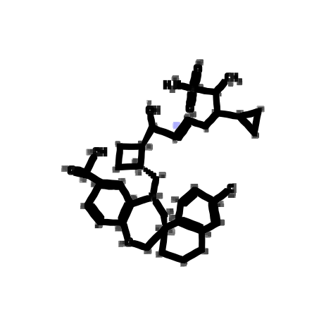 CC(C(C/C=C/C(O)[C@@H]1CC[C@H]1CN1C[C@@]2(CCCc3cc(Cl)ccc32)COc2ccc(C(=O)O)cc21)C1CC1)S(N)(=O)=O